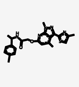 Cc1ccc(C(C)NC(=O)COc2cc(C)c3c(-c4nc(C)cs4)nn(C)c3n2)cc1